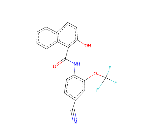 N#Cc1ccc(NC(=O)c2c(O)ccc3ccccc23)c(OC(F)(F)F)c1